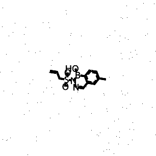 C=CCS(=O)(=O)N1N=Cc2cc(C)ccc2B1O